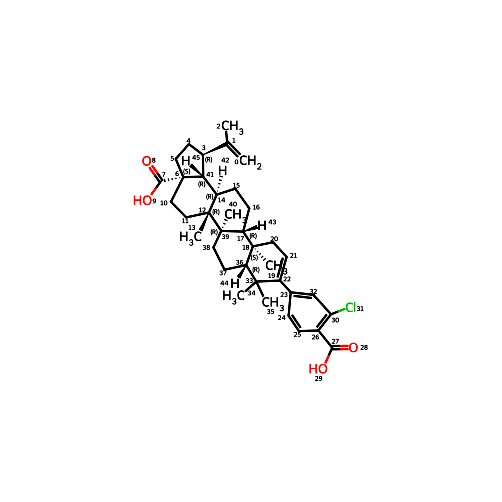 C=C(C)[C@@H]1CC[C@]2(C(=O)O)CC[C@]3(C)[C@H](CC[C@@H]4[C@@]5(C)CC=C(c6ccc(C(=O)O)c(Cl)c6)C(C)(C)[C@@H]5CC[C@]43C)[C@@H]12